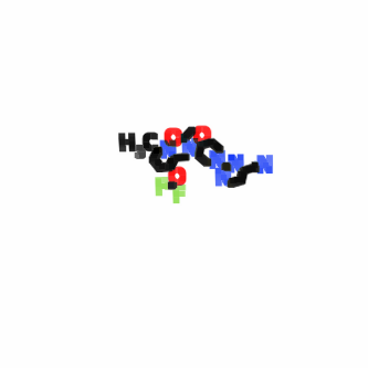 Cc1ccc(OC(F)F)c(CN2C(=O)COC23CCN(c2nccc(C#N)n2)CC3)n1